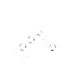 Cc1noc(-c2ccc(-c3ccc(C4(C(=O)O)CC4)cc3)cc2)c1CS(=O)(=O)Cc1ccccc1